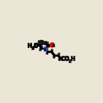 C=CCN(CCCCCC(=O)O)C(=O)C(C)(C)C